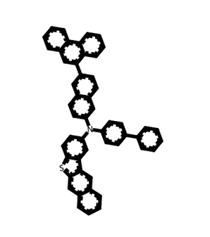 c1ccc(-c2ccc(N(c3ccc4cc(-c5cc6ccccc6c6ccccc56)ccc4c3)c3ccc4sc5cc6ccccc6cc5c4c3)cc2)cc1